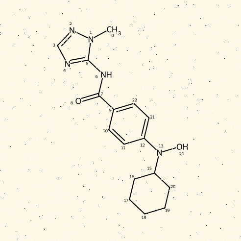 Cn1ncnc1NC(=O)c1ccc(N(O)C2CCCCC2)cc1